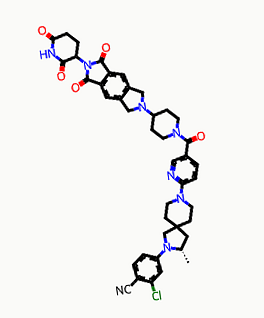 C[C@H]1CC2(CCN(c3ccc(C(=O)N4CCC(N5Cc6cc7c(cc6C5)C(=O)N(C5CCC(=O)NC5=O)C7=O)CC4)cn3)CC2)CN1c1ccc(C#N)c(Cl)c1